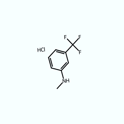 CNc1cccc(C(F)(F)F)c1.Cl